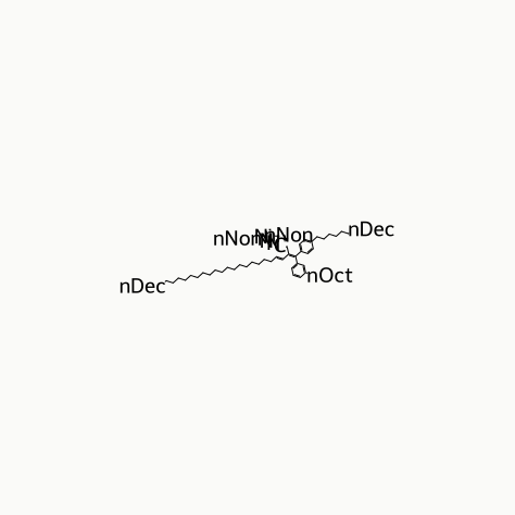 CCCCCCCCCCCCCCCCCCCCCCCCCCCCC=CC(C=C=[N+]=[N-])=C(c1ccc(CCCCCCCCCCCCCCCC)cc1)c1cccc(CCCCCCCC)c1.CCCCCCCC[CH2][Ni][CH2]CCCCCCCC